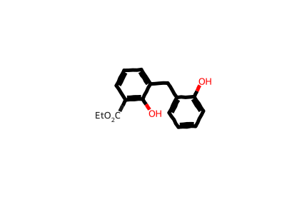 CCOC(=O)c1cccc(Cc2ccccc2O)c1O